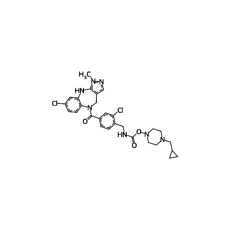 Cn1ncc2c1Nc1cc(Cl)ccc1N(C(=O)c1ccc(CNC(=O)ON3CCN(CC4CC4)CC3)c(Cl)c1)C2